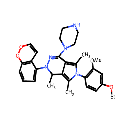 CCOc1ccc(-n2c(C)c3c(c2C)C(C)N(c2cccc4c2C=COO4)N=C3N2CCNCC2)c(OC)c1